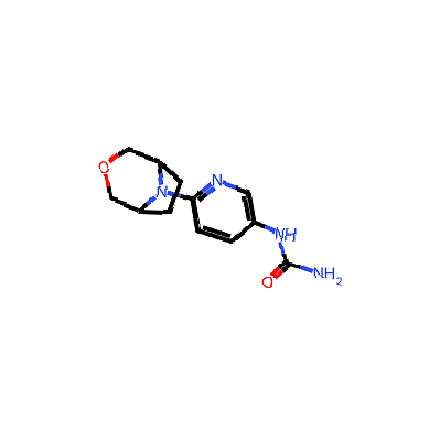 NC(=O)Nc1ccc(N2C3CCC2COC3)nc1